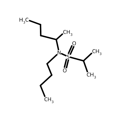 CCCCN(C(C)CCC)S(=O)(=O)C(C)C